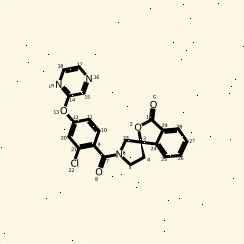 O=C1O[C@]2(CCN(C(=O)c3ccc(Oc4cnccn4)cc3Cl)C2)c2ccccc21